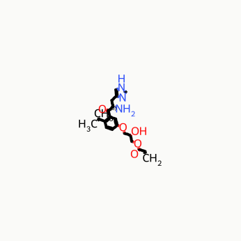 C=CC(=O)OCC(O)COc1ccc(C(C)C)c(C(=O)[C@@H](N)Cc2c[nH]cn2)c1